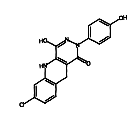 O=c1c2c(c(O)nn1-c1ccc(O)cc1)Nc1cc(Cl)ccc1C2